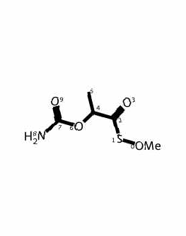 COSC(=O)C(C)OC(N)=O